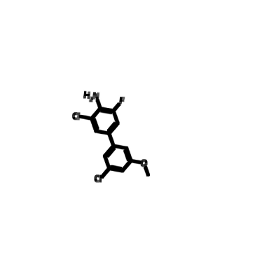 COc1cc(Cl)cc(-c2cc(F)c(N)c(Cl)c2)c1